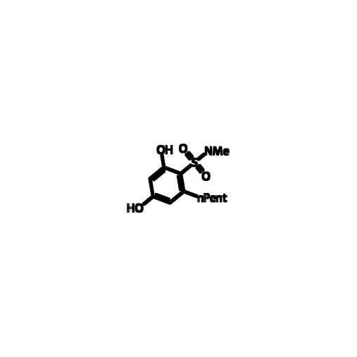 CCCCCc1cc(O)cc(O)c1S(=O)(=O)NC